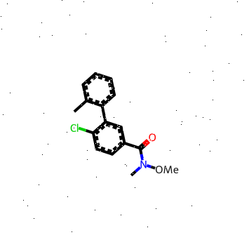 CON(C)C(=O)c1ccc(Cl)c(-c2ccccc2C)c1